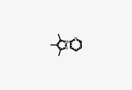 Cc1n[nH]c(C)c1C.c1ccncc1